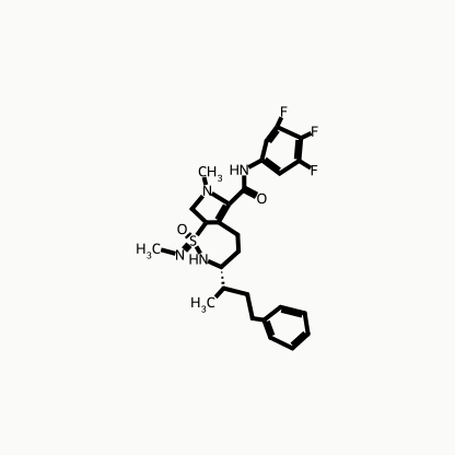 CN=S1(=O)N[C@@H](C(C)CCc2ccccc2)CCC2=C(C(=O)Nc3cc(F)c(F)c(F)c3)N(C)CC21